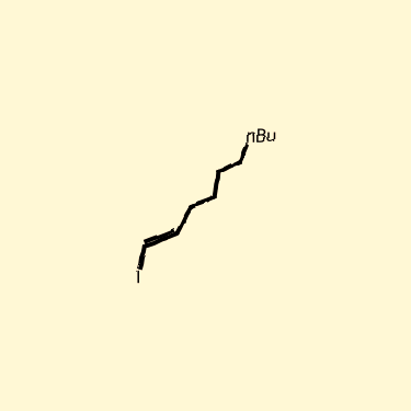 CCCCCCCC/C=C/I